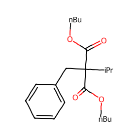 CCCCOC(=O)C(Cc1ccccc1)(C(=O)OCCCC)C(C)C